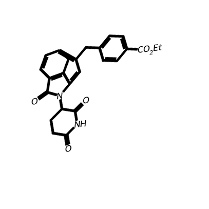 CCOC(=O)c1ccc(CC2=C3C=CC4=C(C3)C(=C2)N(C2CCC(=O)NC2=O)C4=O)cc1